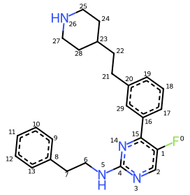 Fc1cnc(NCCc2ccccc2)nc1-c1cccc(CCC2CCNCC2)c1